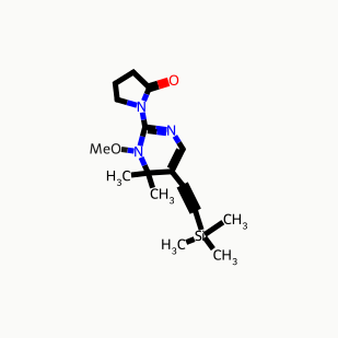 CON1C(N2CCCC2=O)=NC=C(C#C[Si](C)(C)C)C1(C)C